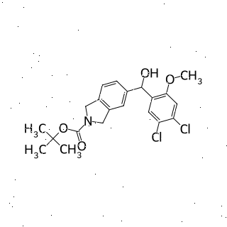 COc1cc(Cl)c(Cl)cc1C(O)c1ccc2c(c1)CN(C(=O)OC(C)(C)C)C2